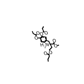 CCCC(=O)OCC[C@@](N)(Cc1ccc(OC(=O)CC)c(OC(=O)CC)c1)C(=O)OC